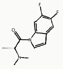 C[C@H](C(=O)n1ccc2cc(F)c(F)cc21)N(C)C